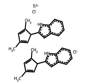 CC1=CC(c2cc3ccccc3[nH]2)C(C)=C1.CC1=CC(c2cc3ccccc3[nH]2)C(C)=C1.[Cl-].[Cl-].[Ti+2]